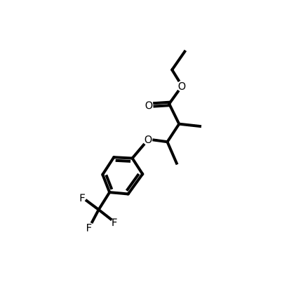 CCOC(=O)C(C)C(C)Oc1ccc(C(F)(F)F)cc1